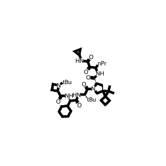 CCCC(NC(=O)[C@@H]1C[C@@]2(CN1C(=O)[C@@H](NC(=O)[C@@H](NC(=O)C1CCN1C(C)(C)C)C1CCCCC1)C(C)(C)C)C(C)(C)C21CCC1)C(=O)C(=O)NC1CC1